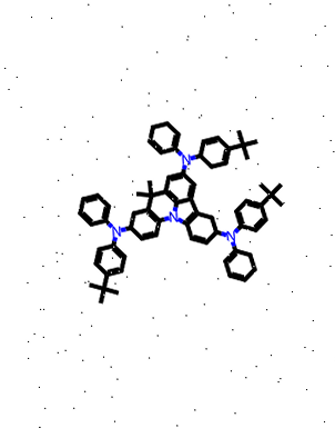 CC(C)(C)C1=CCC(N(C2=CCCC=C2)c2cc3c4c(c2)c2c(n4C4=C(CC(N(c5ccccc5)c5ccc(C(C)(C)C)cc5)C=C4)C3(C)C)C=CC(N(C3=CC=CCC3)c3ccc(C(C)(C)C)cc3)C2)C=C1